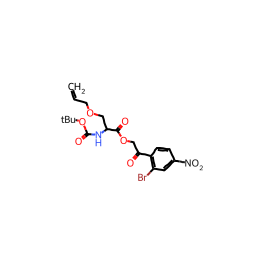 C=CCOCC(NC(=O)OC(C)(C)C)C(=O)OCC(=O)c1ccc([N+](=O)[O-])cc1Br